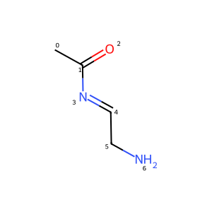 CC(=O)N=CCN